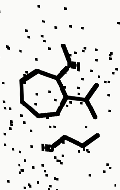 CCCO.CNC1CCCCCC1C(C)C